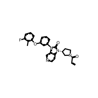 C=CC(=O)N1CC[C@@H](n2c(=O)n(-c3cccc(Oc4cccc(F)c4C)c3)c3cnccc32)C1